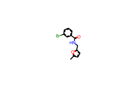 Cc1ccc(CNC(=O)c2cccc(Br)c2)o1